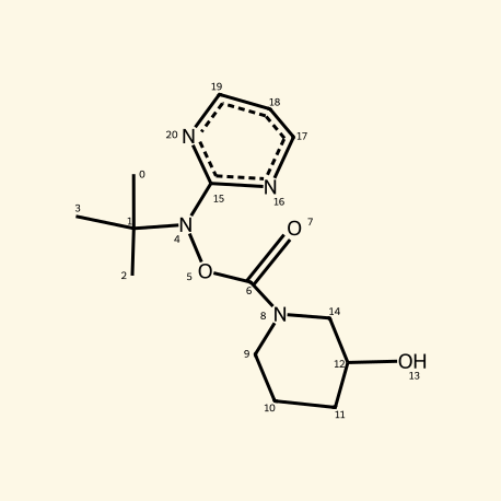 CC(C)(C)N(OC(=O)N1CCCC(O)C1)c1ncccn1